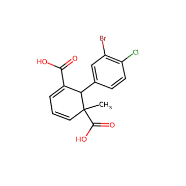 CC1(C(=O)O)C=CC=C(C(=O)O)C1c1ccc(Cl)c(Br)c1